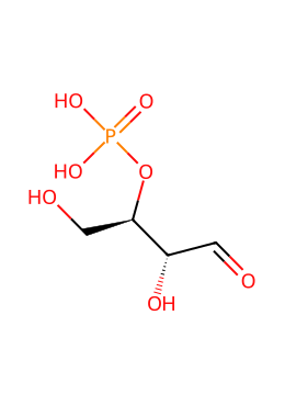 O=C[C@H](O)[C@@H](CO)OP(=O)(O)O